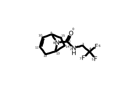 O=C(NCC(F)(F)F)N1C2C=CCC1CC2